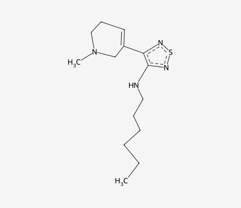 CCCCCCNc1nsnc1C1=CCCN(C)C1